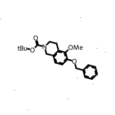 COc1c(OCc2ccccc2)ccc2c1CCN(C(=O)OC(C)(C)C)C2